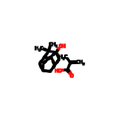 C=C(C)C(=O)O.CC1(C)C2CC3CC(C2)CC1(O)C3